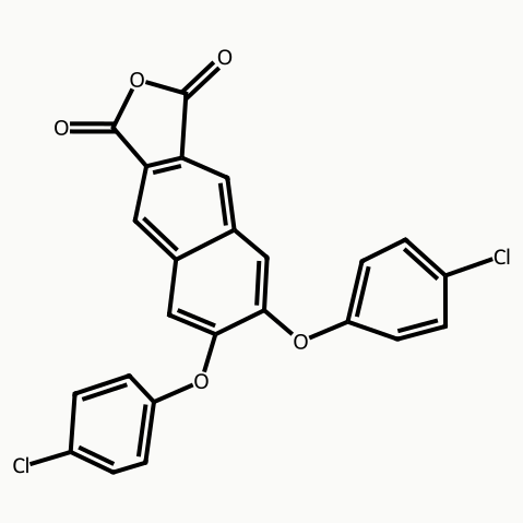 O=C1OC(=O)c2cc3cc(Oc4ccc(Cl)cc4)c(Oc4ccc(Cl)cc4)cc3cc21